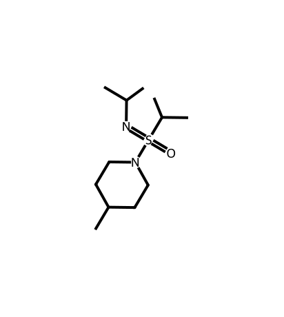 CC1CCN(S(=O)(=NC(C)C)C(C)C)CC1